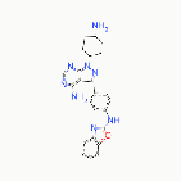 Nc1ncnc2c1c(-c1ccc(Nc3nc4ccccc4o3)cc1)nn2[C@H]1CC[C@@H](N)CC1